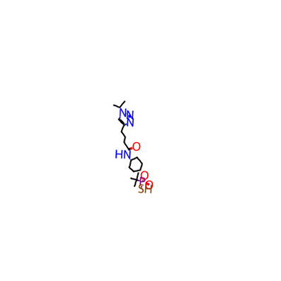 CC(C)n1cc(CCCC(=O)NC2CCC(OP(=O)(S)C(C)(C)C)CC2)nn1